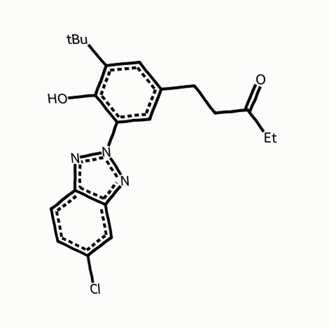 CCC(=O)CCc1cc(-n2nc3ccc(Cl)cc3n2)c(O)c(C(C)(C)C)c1